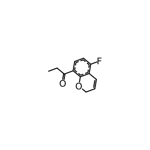 CCC(=O)c1ccc(F)c2c1OCC=C2